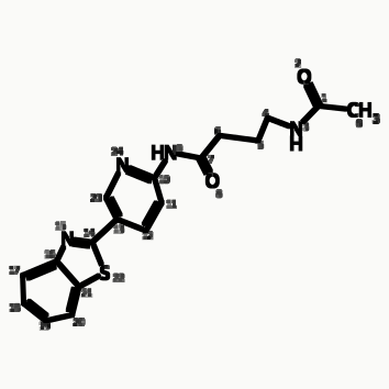 CC(=O)NCCCC(=O)Nc1ccc(-c2nc3ccccc3s2)cn1